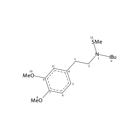 CCC(C)N(CCc1ccc(OC)c(OC)c1)SC